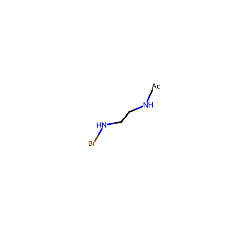 CC(=O)NCCNBr